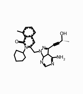 Cc1cccc2cc(CN3N=C(C#C[C@@H](C)O)C4C(N)=NC=NC43)n(C3CCCCC3)c(=O)c12